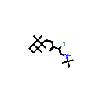 C=C(/C=C\C1(C)C(C)(C)C2CCC21C)C(Cl)CNC(C)(C)C